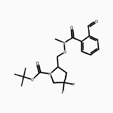 CN(OCC1CC(F)(F)CN1C(=O)OC(C)(C)C)C(=O)c1ccccc1C=O